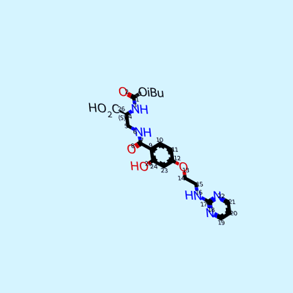 CC(C)COC(=O)N[C@@H](CNC(=O)c1ccc(OCCNc2ncccn2)cc1O)C(=O)O